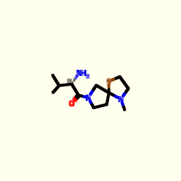 CC(C)[C@H](N)C(=O)N1CCC2(C1)SCCN2C